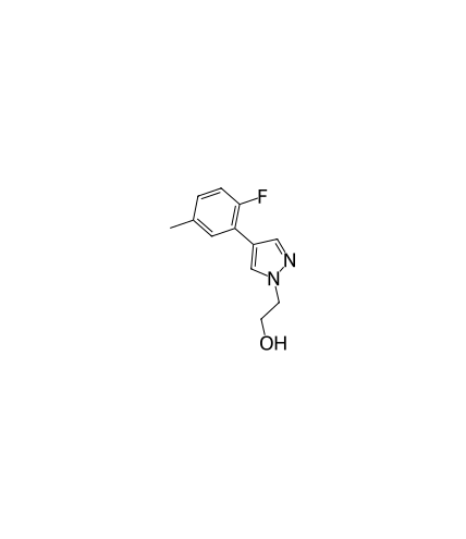 Cc1ccc(F)c(-c2cnn(CCO)c2)c1